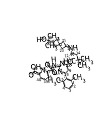 Cc1cccc(C)c1-c1cc(OC[C@@H](CC(C)(C)C)NC2CC3(C2)CC(C(C)(C)O)C3)nc(NS(=O)(=O)c2cccc(C(=O)O)n2)n1